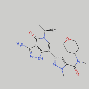 CC(C)[C@H](C)n1cc(-c2cc(C(=O)N(C)C3CCOCC3)n(C)n2)c2[nH]nc(N)c2c1=O